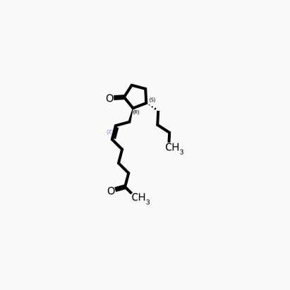 CCCC[C@H]1CCC(=O)[C@@H]1C/C=C\CCCC(C)=O